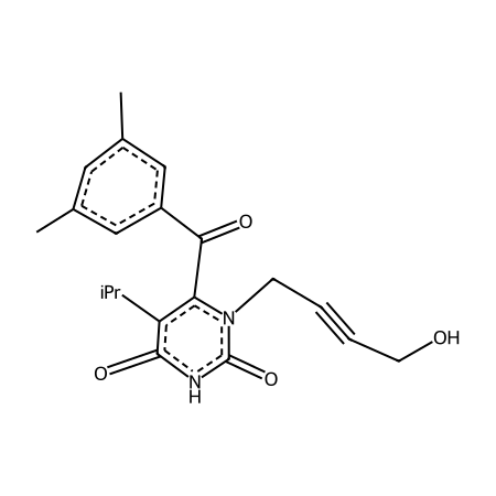 Cc1cc(C)cc(C(=O)c2c(C(C)C)c(=O)[nH]c(=O)n2CC#CCO)c1